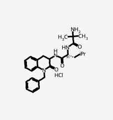 CC(C)C[C@@H](NC(=O)C(C)(C)N)C(=O)NC1Cc2ccccc2N(Cc2ccccc2)C1=O.Cl